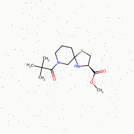 COC(=O)[C@@H]1CSC2(CCCN(C(=O)C(C)(C)C)C2)N1